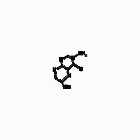 Bn1cnc2ncc(C(C)(C)C)nc2c1=O